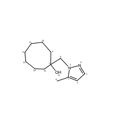 Cc1ccnn1CC1(O)CCCCCCC1